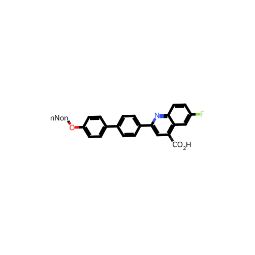 CCCCCCCCCOc1ccc(-c2ccc(-c3cc(C(=O)O)c4cc(F)ccc4n3)cc2)cc1